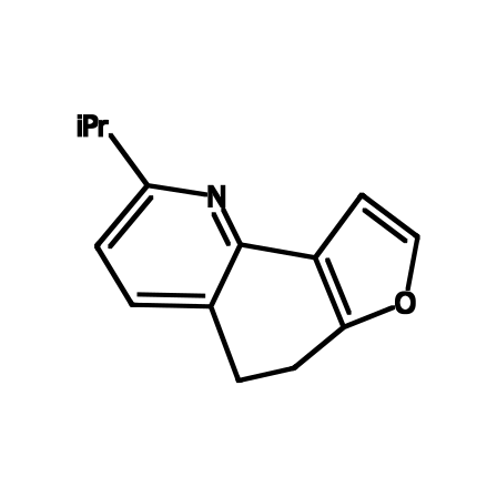 CC(C)c1ccc2c(n1)-c1ccoc1CC2